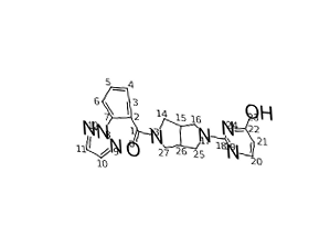 O=C(c1ccccc1-n1nccn1)N1CC2CN(c3nccc(O)n3)CC2C1